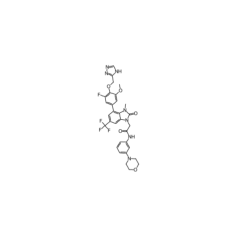 COc1cc(-c2cc(C(F)(F)F)cc3c2n(C)c(=O)n3CC(=O)Nc2cccc(N3CCOCC3)c2)cc(F)c1OCc1nnc[nH]1